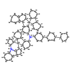 c1ccc(-c2ccc(-c3ccc(N(c4ccc5c(c4)C4(c6ccccc6-c6ccccc64)c4ccc6ccccc6c4-5)c4cccc5c4-c4ccccc4C54c5ccccc5-n5c6ccccc6c6cccc4c65)cc3)cc2)cc1